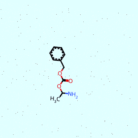 CC(N)OC(=O)OCc1ccccc1